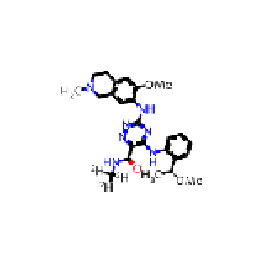 [2H]C([2H])([2H])NC(=O)c1nnc(Nc2cc3c(cc2OC)CCN(C)C3)nc1Nc1ccccc1[C@@H](C)OC